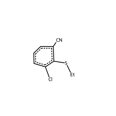 CCSc1c(Cl)cccc1C#N